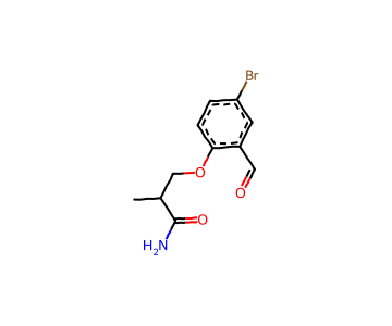 CC(COc1ccc(Br)cc1C=O)C(N)=O